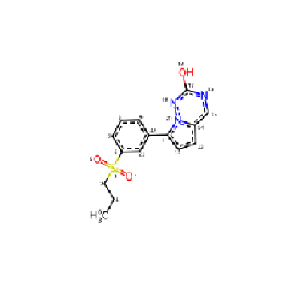 CCCS(=O)(=O)c1cccc(-c2ccc3cnc(O)nn23)c1